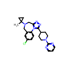 CC1(N2Cc3cc(Cl)ccc3-n3c(nnc3C3CCN(c4ncccn4)CC3)C2)CC1